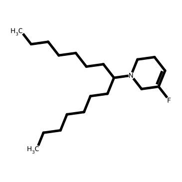 CCCCCCCC(CCCCCCC)N1CCC=C(F)C1